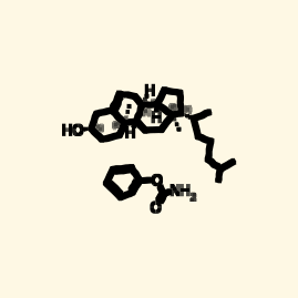 CC(C)CCCC(C)[C@H]1CC[C@H]2[C@@H]3CC=C4C[C@@H](O)CC[C@]4(C)[C@H]3CC[C@]12C.NC(=O)Oc1ccccc1